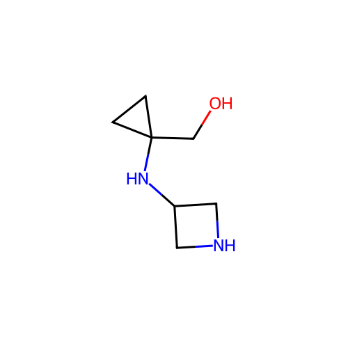 OCC1(NC2CNC2)CC1